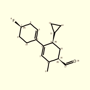 CC1C=C(C2=CC[C@H](F)CC2)[C@@H](C2CC2)C[C@H]1C=O